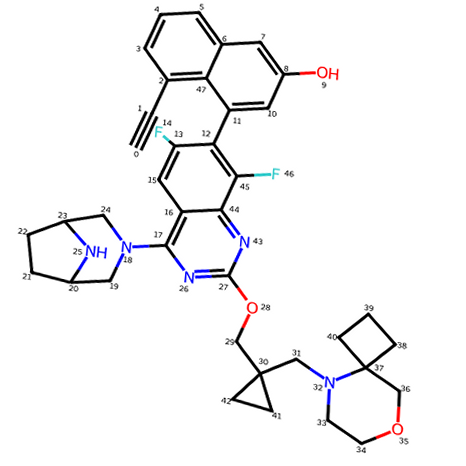 C#Cc1cccc2cc(O)cc(-c3c(F)cc4c(N5CC6CCC(C5)N6)nc(OCC5(CN6CCOCC67CCC7)CC5)nc4c3F)c12